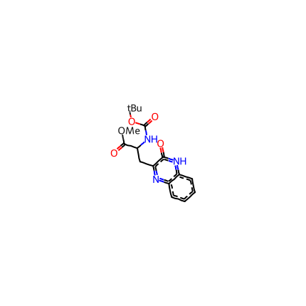 COC(=O)C(Cc1nc2ccccc2[nH]c1=O)NC(=O)OC(C)(C)C